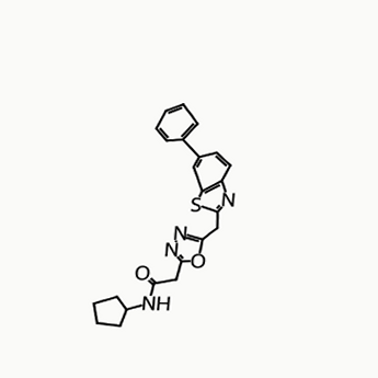 O=C(Cc1nnc(Cc2nc3ccc(-c4ccccc4)cc3s2)o1)NC1CCCC1